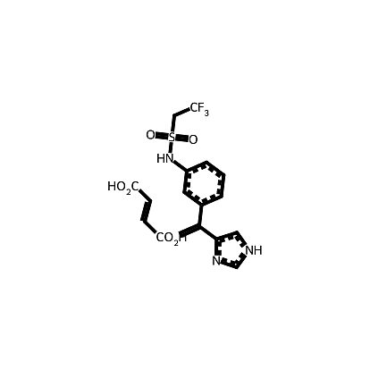 C=C(c1cccc(NS(=O)(=O)CC(F)(F)F)c1)c1c[nH]cn1.O=C(O)C=CC(=O)O